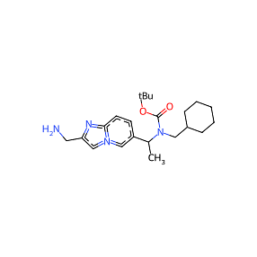 CC(c1ccc2nc(CN)cn2c1)N(CC1CCCCC1)C(=O)OC(C)(C)C